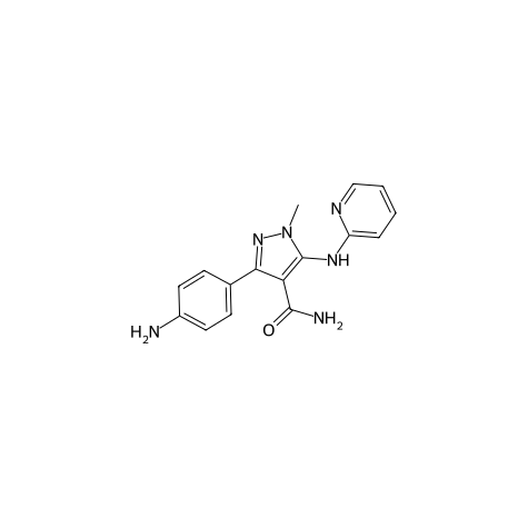 Cn1nc(-c2ccc(N)cc2)c(C(N)=O)c1Nc1ccccn1